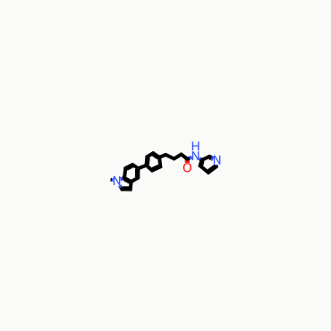 Cn1ccc2cc(-c3ccc(CCCC(=O)Nc4cccnc4)cc3)ccc21